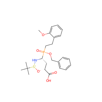 COc1ccccc1CCP(=O)(OCc1ccccc1)[C@H](CCC(=O)O)N[S+]([O-])C(C)(C)C